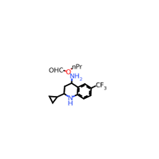 CCCOC=O.NC1CC(C2CC2)Nc2ccc(C(F)(F)F)cc21